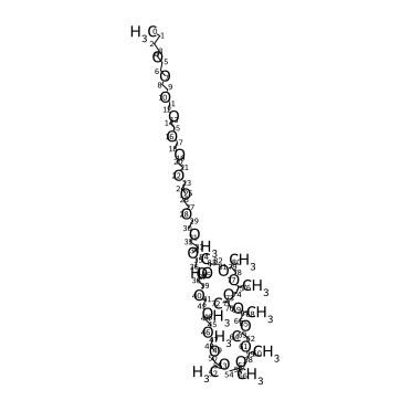 CCCCOCCOCCOCCOCCOCCOCCOCCOCCOCCOCCOCCOCCOCCOCCOCCOCC(C)OCC(C)OCC(C)OCC(C)OCC(C)OCC(C)OCC(C)OCC(C)OCC(C)O